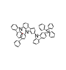 c1ccc(-c2ccc(-n3c4cc(-n5c6ccccc6c6ccc([Si](c7ccccc7)(c7ccccc7)c7ccccc7)cc65)ccc4c4cccc(-n5c6ccccc6c6ccccc65)c43)cc2)cc1